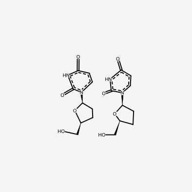 O=c1ccn([C@H]2CC[C@@H](CO)O2)c(=O)[nH]1.O=c1ccn([C@H]2CC[C@@H](CO)O2)c(=O)[nH]1